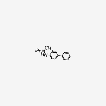 CC(C)[C@H](C)Nc1ccc(-c2ccccc2)cc1